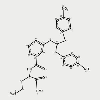 COC(=O)C(CCSC)NC(=O)c1cccc(CN(Cc2ccc([N+](=O)[O-])cc2)Cc2ccc([N+](=O)[O-])cc2)c1